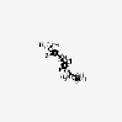 CC(C)Oc1ccc(-c2nnc(-c3cc(F)c(OC[C@H](N)COP(=O)(O)O)cc3Cl)s2)cc1Br